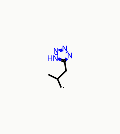 [CH2]C(C)Cc1nnn[nH]1